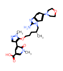 C[C@H](CCCOc1c(-c2cc(C(=O)O)cn(C)c2=O)cnn1C)Cn1c(N)nc2ccc(N3CCOCC3)cc21